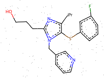 CC(C)c1nc(CCCO)n(Cc2cccnc2)c1Sc1cccc(F)c1